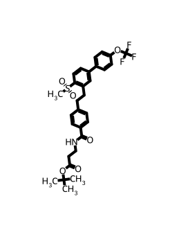 CC(C)(C)OC(=O)CCNC(=O)c1ccc(CCc2cc(-c3ccc(OC(F)(F)F)cc3)ccc2S(C)(=O)=O)cc1